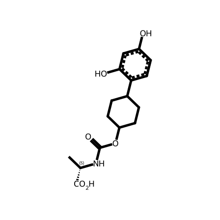 C[C@H](NC(=O)OC1CCC(c2ccc(O)cc2O)CC1)C(=O)O